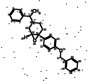 C[C@H](c1ccccc1)N1CC[C@]2(c3ccc(OCc4ccccc4)cc3)O[C@@H]2C1